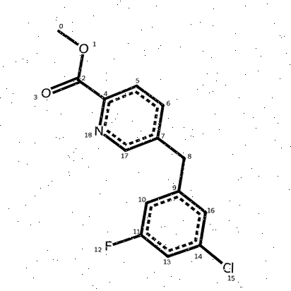 COC(=O)c1ccc(Cc2cc(F)cc(Cl)c2)cn1